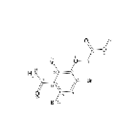 COC(=O)COc1c(Br)cc(Br)c(C(N)=O)c1Br